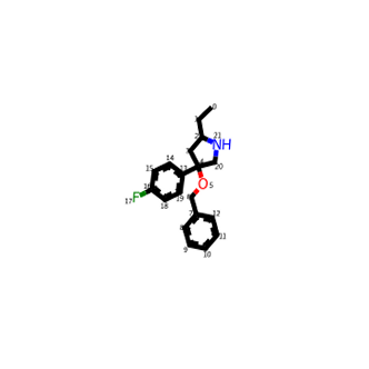 CCC1CC(OCc2ccccc2)(c2ccc(F)cc2)CN1